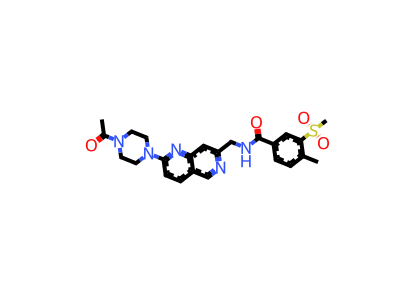 CC(=O)N1CCN(c2ccc3cnc(CNC(=O)c4ccc(C)c(S(C)(=O)=O)c4)cc3n2)CC1